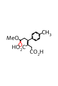 COC(=O)CC(=C(CC(=O)O)C(=O)O)c1ccc(C)cc1